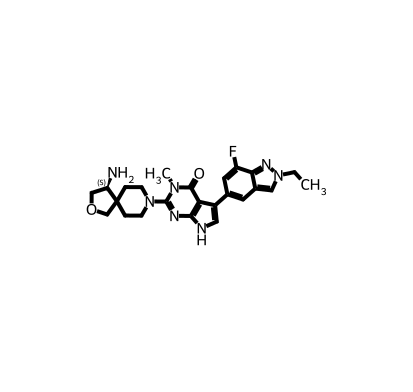 CCn1cc2cc(-c3c[nH]c4nc(N5CCC6(CC5)COC[C@H]6N)n(C)c(=O)c34)cc(F)c2n1